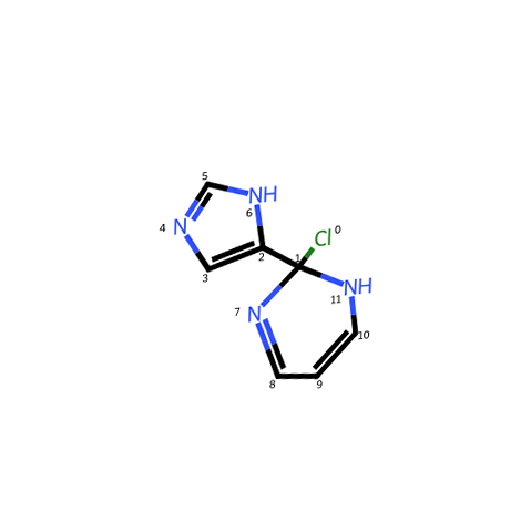 ClC1(c2cnc[nH]2)N=CC=CN1